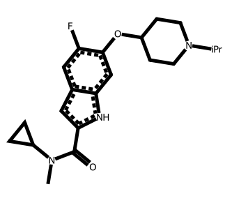 CC(C)N1CCC(Oc2cc3[nH]c(C(=O)N(C)C4CC4)cc3cc2F)CC1